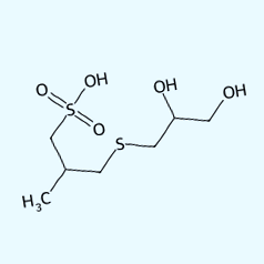 CC(CSCC(O)CO)CS(=O)(=O)O